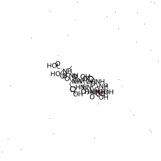 CC(C)C[C@H](NC(=O)[C@H](Cc1ccc(O)cc1)NC(=O)[C@H](CO)NC(=O)[C@H](CO)NC(=O)[C@@H](NC(=O)[C@H](CC(=O)O)NC(=O)[C@H](CO)NC(=O)[C@@H](NC(=O)[C@@H](N)Cc1ccccc1)[C@@H](C)O)C(C)C)C(=O)N[C@@H](CCC(=O)O)C(=O)O